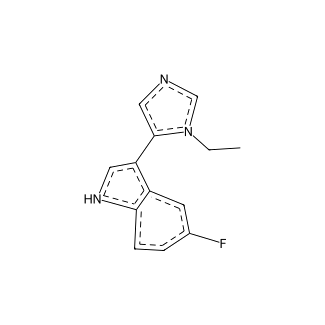 CCn1cncc1-c1c[nH]c2ccc(F)cc12